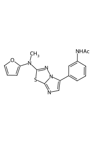 CC(=O)Nc1cccc(-c2cnc3sc(N(C)c4ccco4)nn23)c1